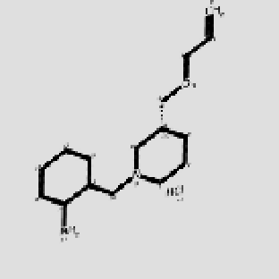 C=CCOC[C@@H]1CCCN(CC2CCCCC2N)C1.Cl